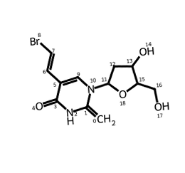 C=C1NC(=O)C(/C=C/Br)=CN1C1CC(O)C(CO)O1